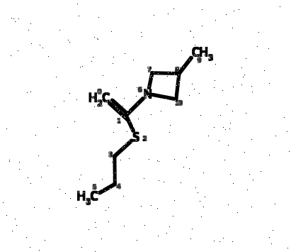 C=C(SCCC)N1CC(C)C1